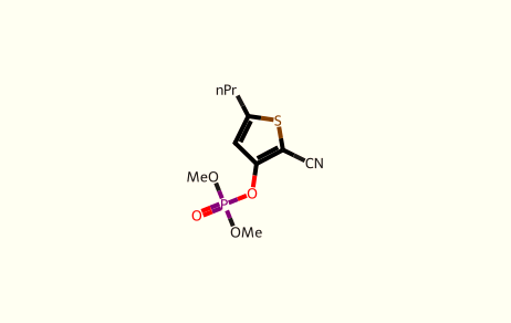 CCCc1cc(OP(=O)(OC)OC)c(C#N)s1